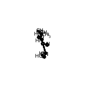 COC(=O)NC(C(=O)N1CCCC1c1ncc(-c2ccc(C#CC#Cc3cnc(C4CCCN4C(=O)O)[nH]3)c(-c3cccnc3)c2)[nH]1)C(C)C